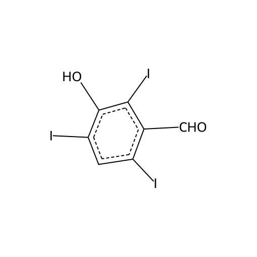 O=Cc1c(I)cc(I)c(O)c1I